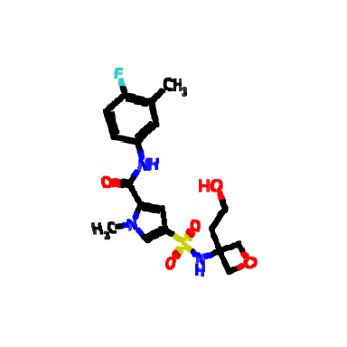 Cc1cc(NC(=O)c2cc(S(=O)(=O)NC3(CCO)COC3)cn2C)ccc1F